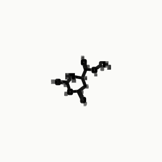 COC(=O)C1CC(=O)OC(=O)N1